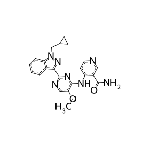 COc1cnc(-c2nn(CC3CC3)c3ccccc23)nc1Nc1ccncc1C(N)=O